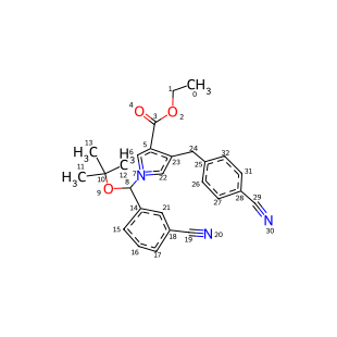 CCOC(=O)c1cn(C(OC(C)(C)C)c2cccc(C#N)c2)cc1Cc1ccc(C#N)cc1